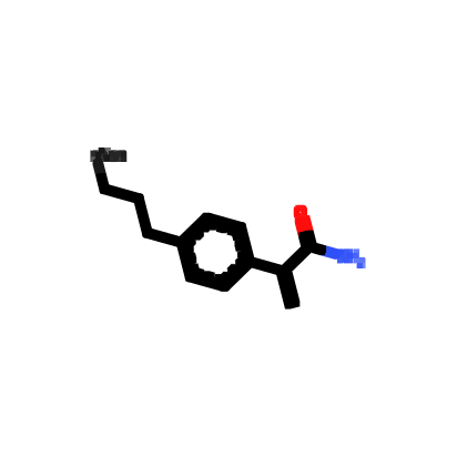 C=C(C(N)=O)c1ccc(CCCCCCCCCCCC)cc1